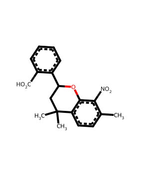 Cc1ccc2c(c1[N+](=O)[O-])OC(c1ccccc1C(=O)O)CC2(C)C